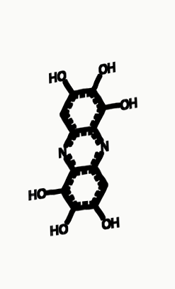 Oc1cc2nc3c(O)c(O)c(O)cc3nc2c(O)c1O